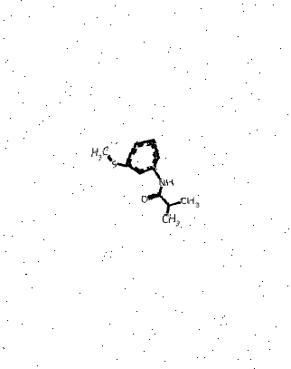 CSc1cccc(NC(=O)C(C)C)c1